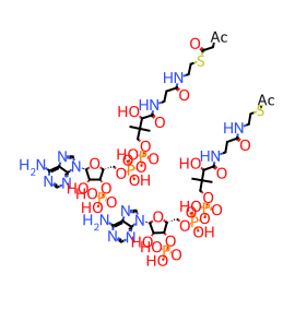 CC(=O)CC(=O)SCCNC(=O)CCNC(=O)C(O)C(C)(C)COP(=O)(O)OP(=O)(O)OC[C@H]1O[C@@H](n2cnc3c(N)ncnc32)[C@H](O)[C@@H]1OP(=O)(O)O.CC(=O)SCCNC(=O)CCNC(=O)C(O)C(C)(C)COP(=O)(O)OP(=O)(O)OC[C@H]1O[C@@H](n2cnc3c(N)ncnc32)[C@H](O)[C@@H]1OP(=O)(O)O